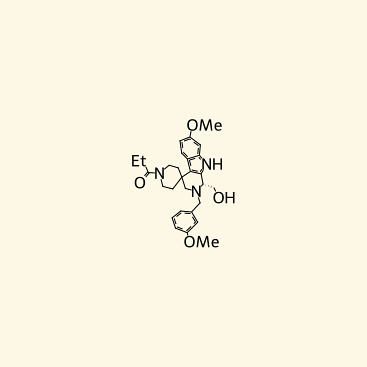 CCC(=O)N1CCC2(CC1)CN(Cc1cccc(OC)c1)[C@@H](CO)c1[nH]c3cc(OC)ccc3c12